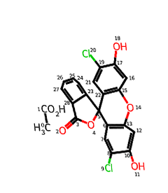 CC(=O)O.O=C1OC2(c3cc(Cl)c(O)cc3Oc3cc(O)c(Cl)cc32)c2ccccc21